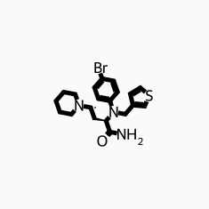 NC(=O)[C@@H](C[CH]N1CCCCC1)N(Cc1ccsc1)c1ccc(Br)cc1